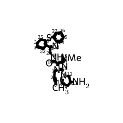 CC#CCn1c(N2CCCC(N)C2)nc(NC)c1C(=O)NCC1=Nc2ccccc2SC2=C1C=CCC2